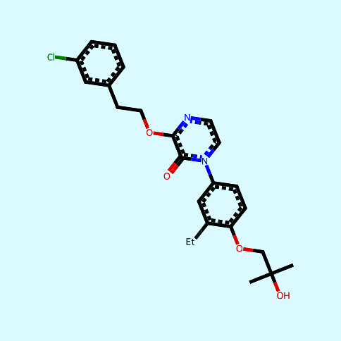 CCc1cc(-n2ccnc(OCCc3cccc(Cl)c3)c2=O)ccc1OCC(C)(C)O